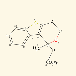 CCOC(=O)CC1(C)OCCc2sc3ccccc3c21